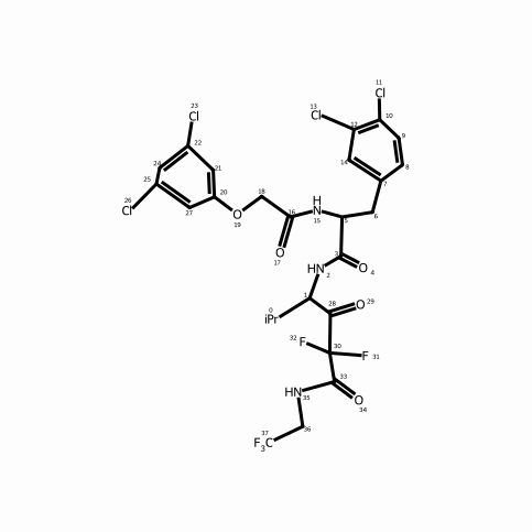 CC(C)C(NC(=O)C(Cc1ccc(Cl)c(Cl)c1)NC(=O)COc1cc(Cl)cc(Cl)c1)C(=O)C(F)(F)C(=O)NCC(F)(F)F